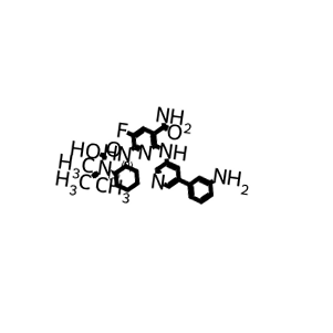 CC(C)(C)N(C(=O)O)[C@H]1CCCC[C@H]1Nc1nc(Nc2cncc(-c3cccc(N)c3)c2)c(C(N)=O)cc1F